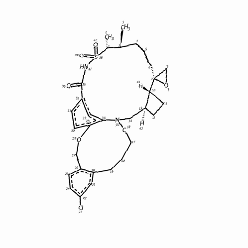 C[C@@H]1[C@@H](C)CCC[C@@]2(CO2)[C@@H]2CC[C@H]2CN2CCCCc3cc(Cl)ccc3COc3ccc(cc32)C(=O)NS1(=O)=O